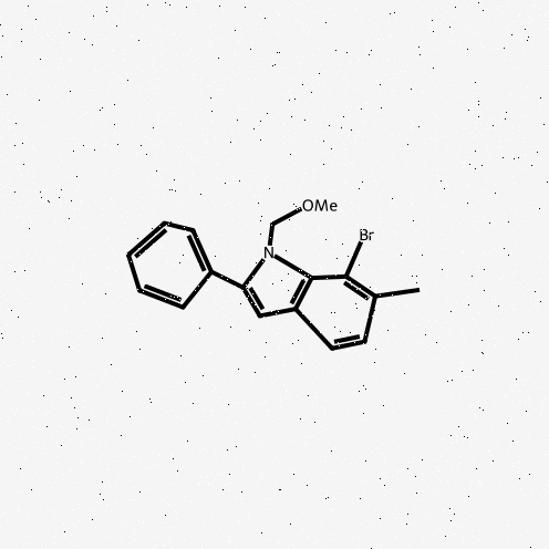 COCn1c(-c2ccccc2)cc2ccc(C)c(Br)c21